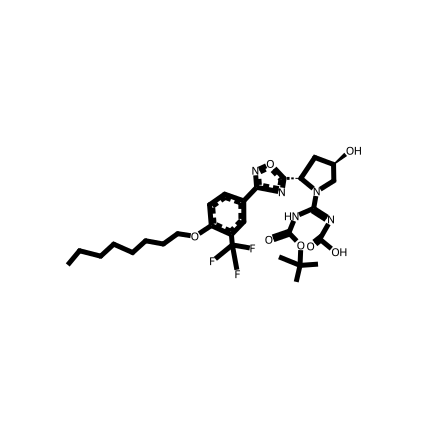 CCCCCCCCOc1ccc(-c2noc([C@@H]3C[C@@H](O)CN3/C(=N/C(=O)O)NC(=O)OC(C)(C)C)n2)cc1C(F)(F)F